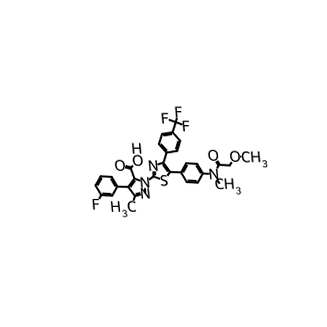 COCC(=O)N(C)c1ccc(-c2sc(-n3nc(C)c(-c4cccc(F)c4)c3C(=O)O)nc2-c2ccc(C(F)(F)F)cc2)cc1